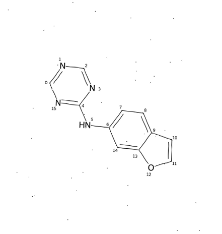 c1ncnc(Nc2ccc3ccoc3c2)n1